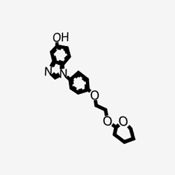 Oc1ccc2c(c1)ncn2-c1ccc(OCCOC2CCCCO2)cc1